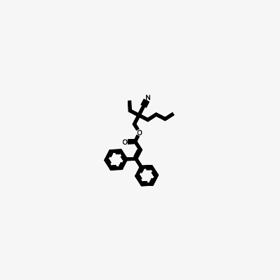 CCCCC(C#N)(CC)COC(=O)C=C(c1ccccc1)c1ccccc1